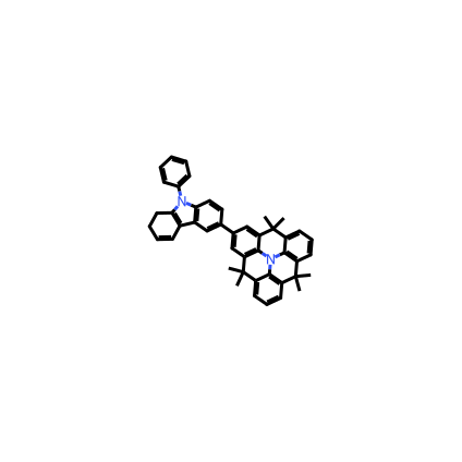 CC1(C)c2cccc3c2N2c4c1cccc4C(C)(C)c1cc(-c4ccc5c(c4)c4c(n5-c5ccccc5)CCC=C4)cc(c12)C3(C)C